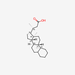 C[C@H](CC(=O)O)[C@H]1CC[C@H]2[C@@H]3CCC4CCCC[C@]4(C)[C@H]3CC[C@]12C